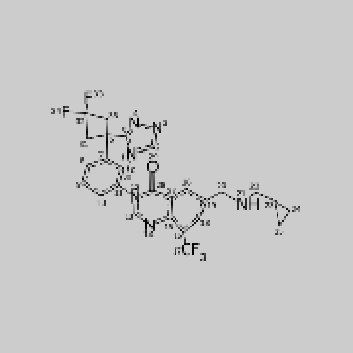 Cn1cnnc1C1(c2cccc(-n3cnc4c(C(F)(F)F)cc(CNCC5CC5)cc4c3=O)c2)CC(F)(F)C1